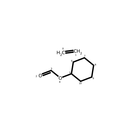 C=C.O=COC1CCCCC1